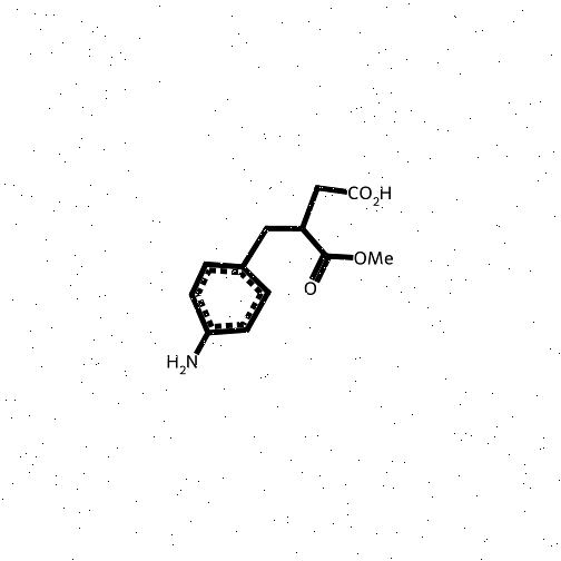 COC(=O)C(CC(=O)O)Cc1ccc(N)cc1